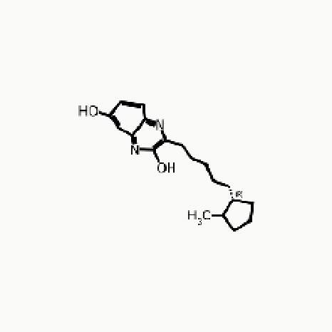 CC1CCC[C@H]1CCCCCc1nc2ccc(O)cc2nc1O